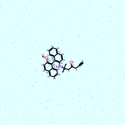 C#CCC(=O)CC(C)(C)Pc1ccc2ccccc2c1-c1c(OC)ccc2ccccc12